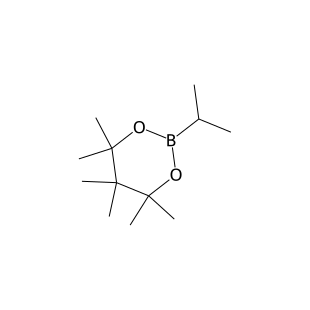 CC(C)B1OC(C)(C)C(C)(C)C(C)(C)O1